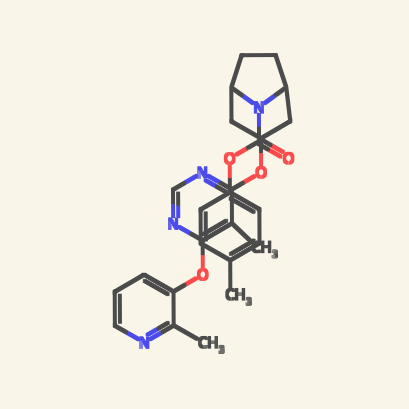 Cc1ccc(OC(=O)N2C3CCC2CC(Oc2ncnc(Oc4cccnc4C)c2C)C3)cc1